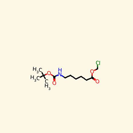 CC(C)(C)OC(=O)NCCCCCC(=O)OCCl